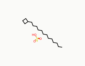 CCCCCCCCCCCCCC1CCC1.O=[SH](=O)O